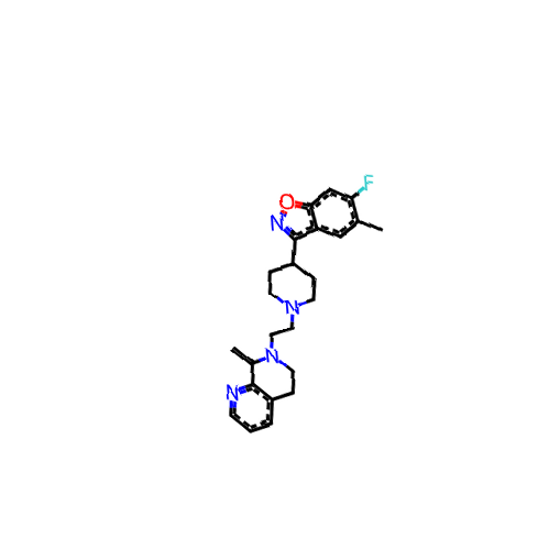 C=C1c2ncccc2CCN1CCN1CCC(c2noc3cc(F)c(C)cc23)CC1